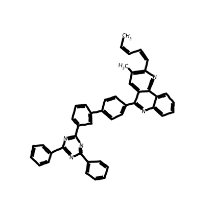 C/C=C\C=C/c1nc2c(cc1C)c(-c1ccc(-c3cccc(-c4nc(-c5ccccc5)nc(-c5ccccc5)n4)c3)cc1)nc1ccccc12